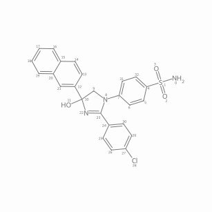 NS(=O)(=O)c1ccc(N2CC(O)(c3ccc4ccccc4c3)N=C2c2ccc(Cl)cc2)cc1